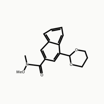 CON(C)C(=O)c1cc(C2OCCCO2)c2ccccc2c1